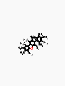 Bc1c(B)c(B)c(-c2c(B)c(B)c3c(oc4c(B)c(B)c(B)c(C)c43)c2B)c(B)c1B